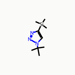 CC(C)(C)n1cc([Si](C)(C)C)nn1